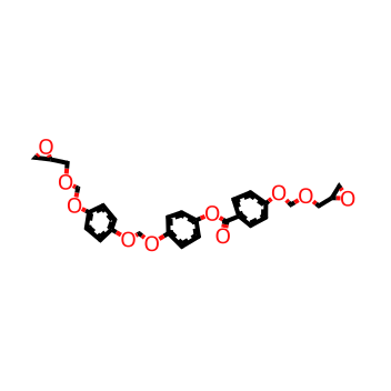 O=C(Oc1ccc(OCOc2ccc(OCOCC3CO3)cc2)cc1)c1ccc(OCOCC2CO2)cc1